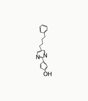 Oc1ccc(-c2ncc(CCCCc3ccccc3)cn2)cc1